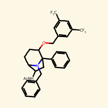 CC(=O)NC1CC2(c3ccccc3)C(OCc3cc(C(F)(F)F)cc(C(F)(F)F)c3)CCC1N2Cc1ccccc1